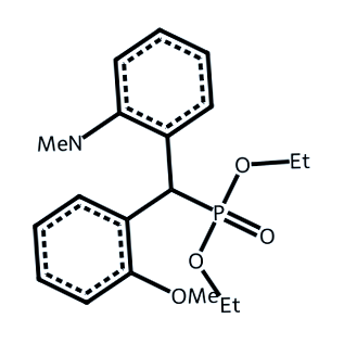 CCOP(=O)(OCC)C(c1ccccc1NC)c1ccccc1OC